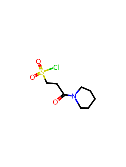 O=C(CCS(=O)(=O)Cl)N1CCCCC1